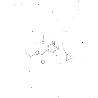 CCOC(=O)c1cn(CC2CC2)nc1SC